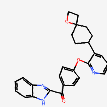 O=C(c1ccc(Oc2ncccc2C2CCC3(CCO3)CC2)cc1)c1nc2ccccc2[nH]1